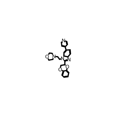 C1=CC2N=C(C3COc4ccccc4O3)N(CCN3CCOCC3)C2C=C1c1ccncc1